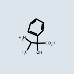 CC(N)C(O)(C(=O)O)c1ccccc1